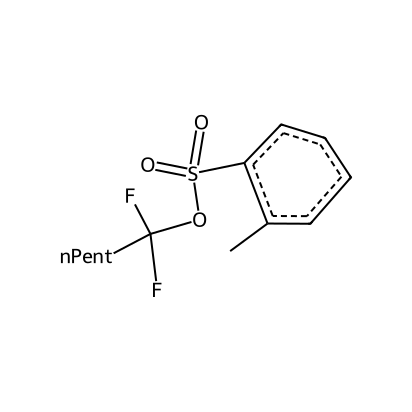 CCCCCC(F)(F)OS(=O)(=O)c1ccccc1C